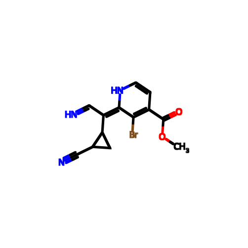 COC(=O)C1=C(Br)/C(=C(/C=N)C2CC2C#N)NC=C1